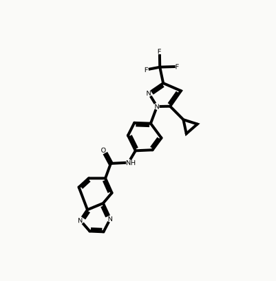 O=C(Nc1ccc(-n2nc(C(F)(F)F)cc2C2CC2)cc1)c1ccc2nccnc2c1